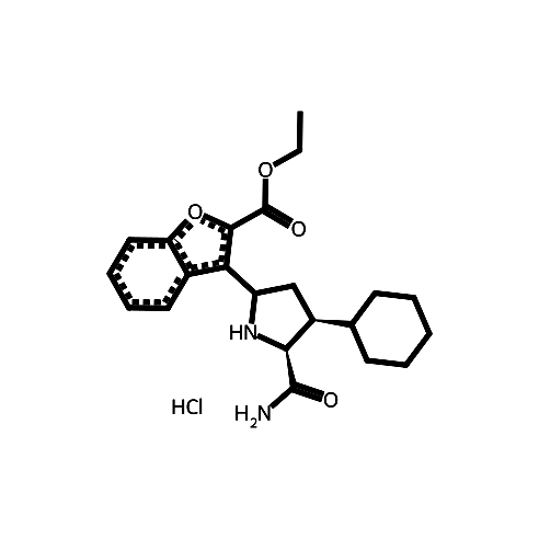 CCOC(=O)c1oc2ccccc2c1C1C[C@@H](C2CCCCC2)[C@@H](C(N)=O)N1.Cl